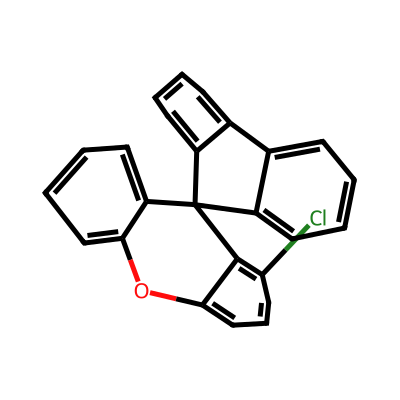 Clc1cccc2c1C1(c3ccccc3O2)c2ccccc2-c2ccccc21